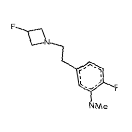 CNc1cc(CCN2CC(F)C2)ccc1F